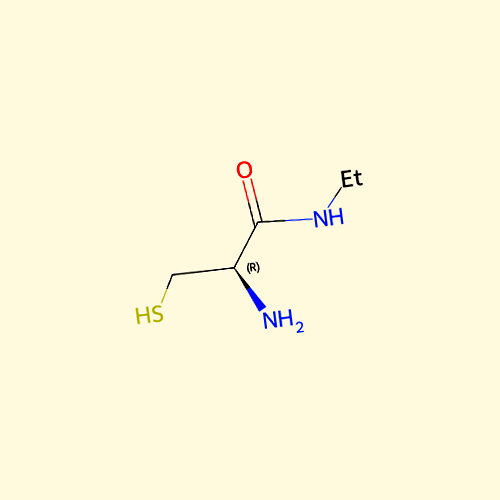 CCNC(=O)[C@@H](N)CS